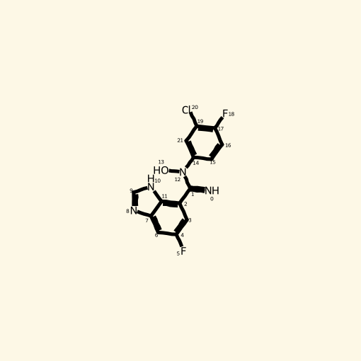 N=C(c1cc(F)cc2nc[nH]c12)N(O)c1ccc(F)c(Cl)c1